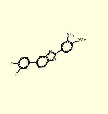 COc1ccc(-c2nc3cc(-c4ccc(F)c(F)c4)ccc3o2)cc1N